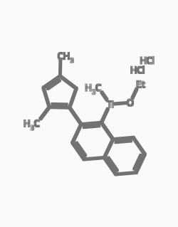 CC[O][Ti]([CH3])[c]1c(C2=C(C)C=C(C)C2)ccc2ccccc12.Cl.Cl